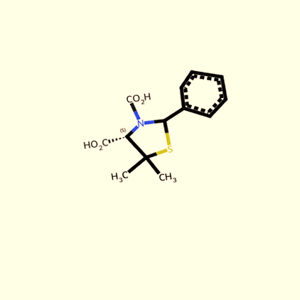 CC1(C)SC(c2ccccc2)N(C(=O)O)[C@H]1C(=O)O